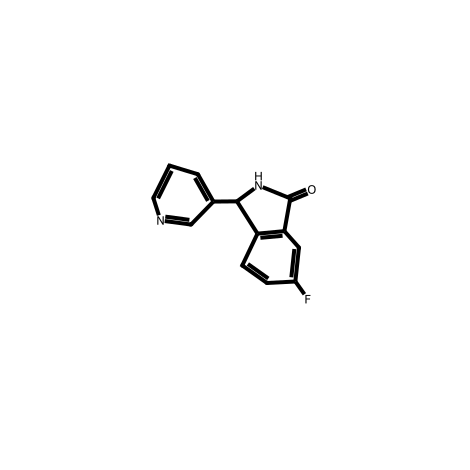 O=C1NC(c2cccnc2)c2ccc(F)cc21